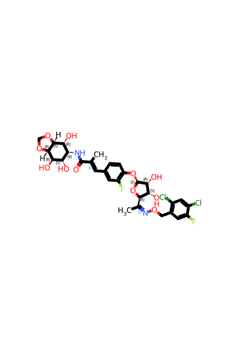 C/C(=N/OCc1cc(F)c(Cl)cc1Cl)[C@H]1O[C@@H](Oc2ccc(/C=C(\C)C(=O)N[C@@H]3[C@H](O)[C@@H](O)[C@H]4OCO[C@H]4[C@@H]3O)cc2F)[C@H](O)[C@@H]1O